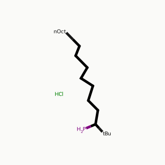 CCCCCCCCCCCCCCCC(P)C(C)(C)C.Cl